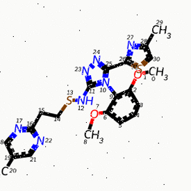 COc1cccc(OC)c1-n1c(NSCCc2ncc(C)cn2)nnc1-c1nc(C)cs1